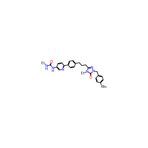 CCNC(=O)Nc1ccc(-c2ccc(CCCc3nn(Cc4ccc(C(C)(C)C)cc4)c(=O)n3CC)cc2)nc1